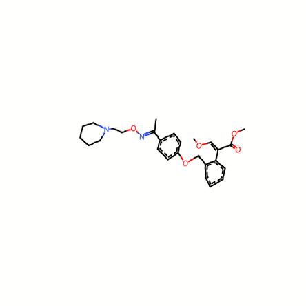 CO/C=C(/C(=O)OC)c1ccccc1COc1ccc(/C(C)=N/OCCN2CCCCC2)cc1